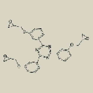 c1cc(OCC2CO2)cc(-c2nc(-c3cccc(OCC4CO4)c3)nc(-c3cccc(OCC4CO4)c3)n2)c1